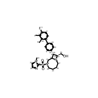 Cc1c(F)ccc(-c2ccc([C@H]3C4CN(S(=O)(=O)c5nccn5C)CCCCN4[C@@H]3CO)cc2)c1C